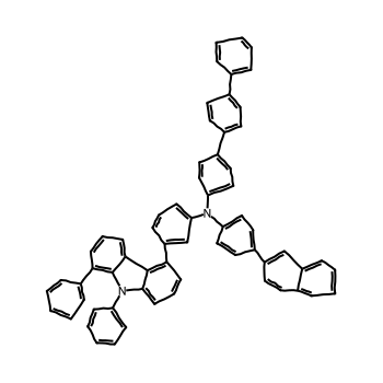 c1ccc(-c2ccc(-c3ccc(N(c4ccc(-c5ccc6ccccc6c5)cc4)c4cccc(-c5cccc6c5c5cccc(-c7ccccc7)c5n6-c5ccccc5)c4)cc3)cc2)cc1